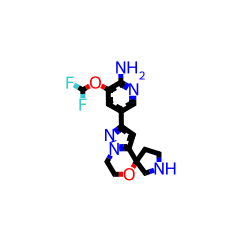 Nc1ncc(-c2cc3n(n2)CCOC32CCNC2)cc1OC(F)F